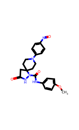 COc1ccc(NC(=O)N2NC(=O)CC23CCN(c2ccc(N=O)cc2)CC3)cc1